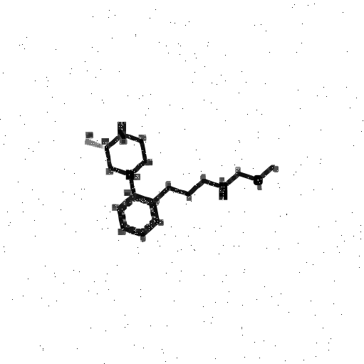 COCNCCCc1ccccc1N1CCN[C@@H](C)C1